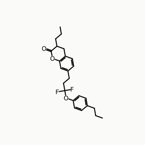 CCCc1ccc(OC(F)(F)CCc2ccc3c(c2)OC(=O)C(CCC)C3)cc1